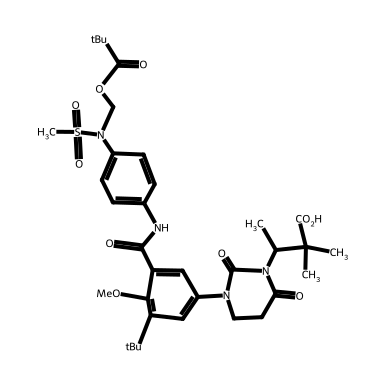 COc1c(C(=O)Nc2ccc(N(COC(=O)C(C)(C)C)S(C)(=O)=O)cc2)cc(N2CCC(=O)N(C(C)C(C)(C)C(=O)O)C2=O)cc1C(C)(C)C